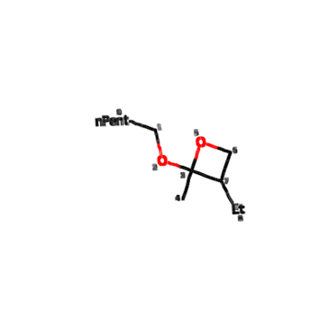 CCCCCCOC1(C)OCC1CC